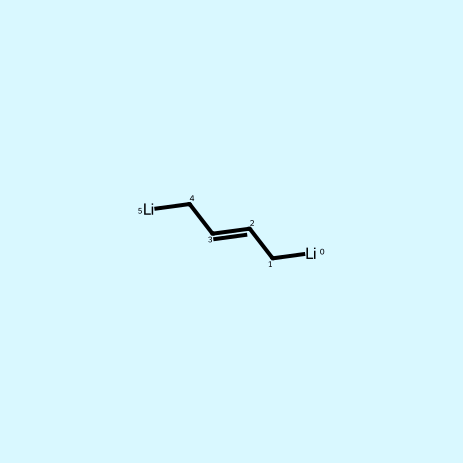 [Li][CH2]C=C[CH2][Li]